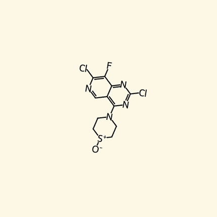 [O-][S+]1CCN(c2nc(Cl)nc3c(F)c(Cl)ncc23)CC1